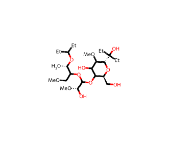 CCC(CC)O[C@@H](C)C(COC)OC(OC1C(O)C(OC)[C@H](C(O)(CC)CC)O[C@H]1CO)[C@H](O)OC